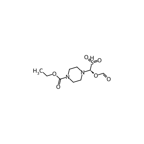 CCOC(=O)N1CCN([C@H](OC=O)[SH](=O)=O)CC1